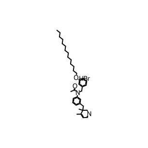 Br.CCCCCCCCCCCCCCOc1cccc(CN(C(C)=O)c2cccc(CC3(C)CN=CC=C3C)c2)c1